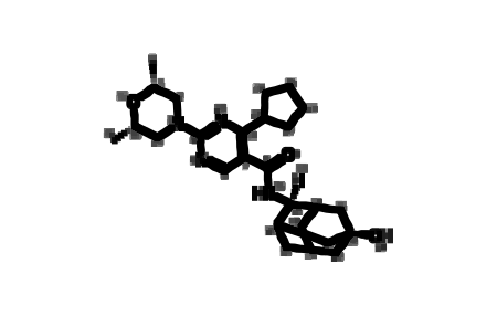 C[C@@H]1CN(c2ncc(C(=O)N[C@H]3C4CC5CC3C[C@@](O)(C5)C4)c(C3CCCC3)n2)C[C@H](C)O1